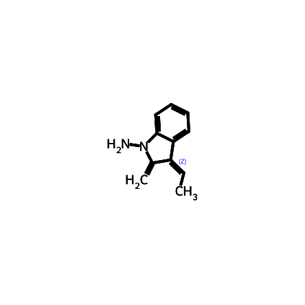 C=c1/c(=C\C)c2ccccc2n1N